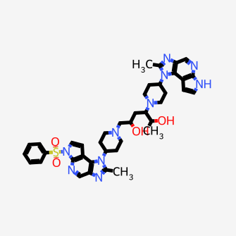 Cc1nc2cnc3[nH]ccc3c2n1C1CCN(C(CC(O)CN2CCC(n3c(C)nc4cnc5c(ccn5S(=O)(=O)c5ccccc5)c43)CC2)C(C)O)CC1